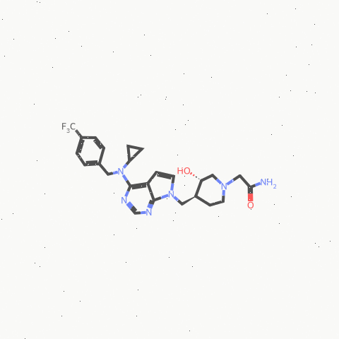 NC(=O)CN1CC[C@@H](Cn2ccc3c(N(Cc4ccc(C(F)(F)F)cc4)C4CC4)ncnc32)[C@H](O)C1